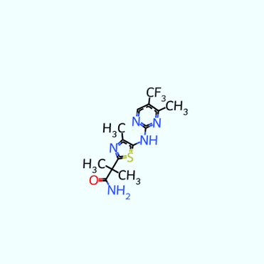 Cc1nc(Nc2sc(C(C)(C)C(N)=O)nc2C)ncc1C(F)(F)F